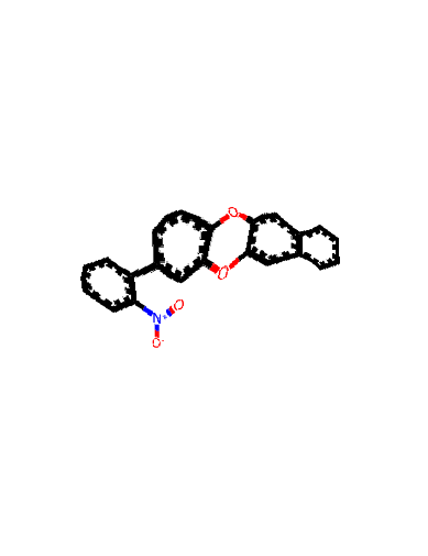 O=[N+]([O-])c1ccccc1-c1ccc2c(c1)Oc1cc3ccccc3cc1O2